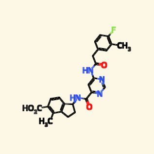 Cc1cc(CC(=O)Nc2cc(C(=O)N[C@H]3CCc4c3ccc(C(=O)O)c4C)ncn2)ccc1F